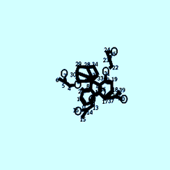 c1cc(OCC2CO2)c(C2(c3c(OCC4CO4)cccc3OCC3CO3)C3CC4CC(C3)CC2C4)c(OCC2CO2)c1